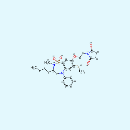 CCCCC1CN(c2ccccc2)c2cc(SC)c(OCCN3C(=O)CCC3=O)cc2S(=O)(=O)N1C